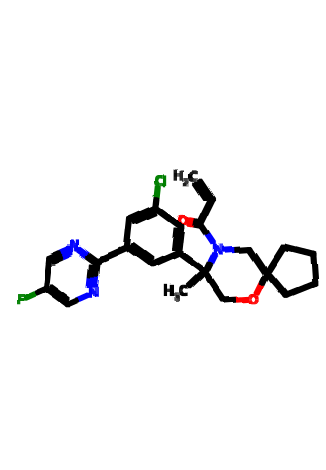 C=CC(=O)N1CC2(CCCC2)OCC1(C)c1cc(Cl)cc(-c2ncc(F)cn2)c1